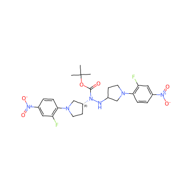 CC(C)(C)OC(=O)N(NC1CCN(c2ccc([N+](=O)[O-])cc2F)C1)[C@@H]1CCN(c2ccc([N+](=O)[O-])cc2F)C1